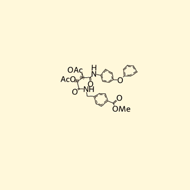 COC(=O)c1ccc(CNC(=O)[C@H](OC(C)=O)[C@@H](OC(C)=O)C(=O)Nc2ccc(Oc3ccccc3)cc2)cc1